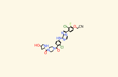 N#CCOc1ccc(-c2cnc3c(Nc4ccc(C(=O)N5CCN(C(=O)[C@@H]6CC(O)CN6)CC5)c(Cl)c4)nccn23)c(Cl)c1F